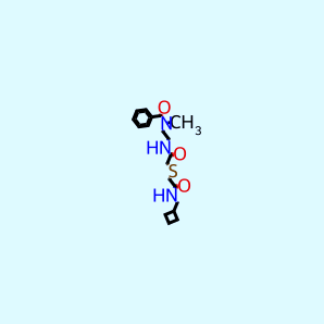 CN(CCNC(=O)CSCC(=O)NCC1CCC1)C(=O)c1ccccc1